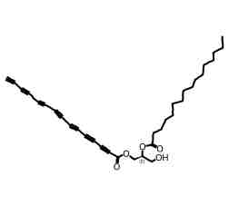 C#CC#CC#CC#CC#CC#CC#CC(=O)OC[C@H](CO)OC(=O)CCCCCCCCCCCCCCC